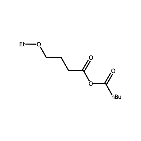 CCCCC(=O)OC(=O)CCCOCC